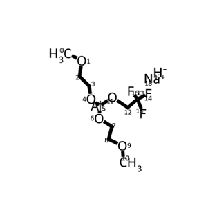 COCC[O][Al]([O]CCOC)[O]CC(F)(F)F.[H-].[Na+]